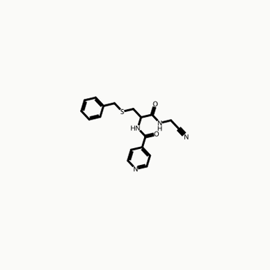 N#CCNC(=O)C(CSCc1ccccc1)NC(=O)c1ccncc1